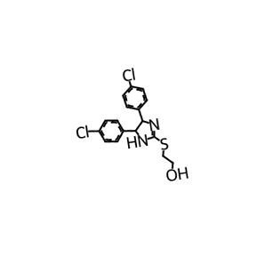 OCCSC1=NC(c2ccc(Cl)cc2)C(c2ccc(Cl)cc2)N1